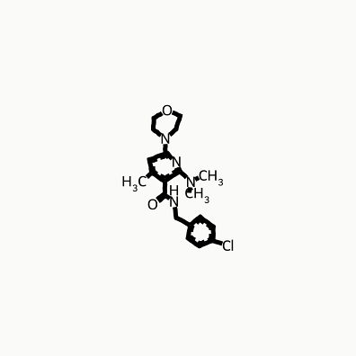 Cc1cc(N2CCOCC2)nc(N(C)C)c1C(=O)NCc1ccc(Cl)cc1